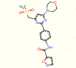 CS(=O)(=O)Cc1cc(N2CCOCC2)nc(-c2ccc(NC(=O)c3ccno3)cc2)n1